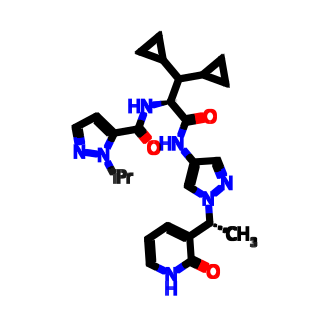 CC(C)n1nccc1C(=O)N[C@H](C(=O)Nc1cnn([C@H](C)c2ccc[nH]c2=O)c1)C(C1CC1)C1CC1